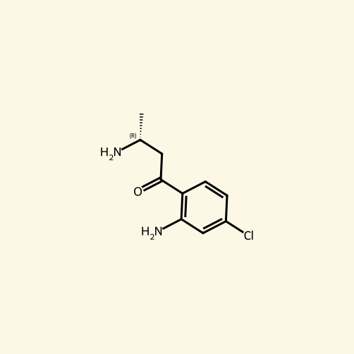 C[C@@H](N)CC(=O)c1ccc(Cl)cc1N